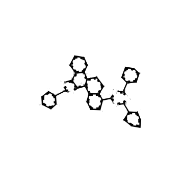 c1ccc(-c2nc(-c3ccccc3)nc(-c3cccc4c3ccc3c5ccccc5c5nc(-c6ccccc6)oc5c43)n2)cc1